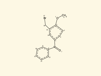 COc1ccc(C(=O)c2ccccc2)cc1CBr